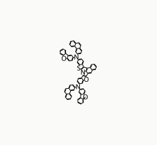 c1ccc2c(c1)ccc1ccc(N(c3ccc4c(c3)oc3c5cc6ccccc6c6c7c8ccc(N(c9ccc%10ccc%11ccccc%11c%10c9)c9ccc%10oc%11ccccc%11c%10c9)cc8sc7n(c43)c56)c3ccc4oc5ccccc5c4c3)cc12